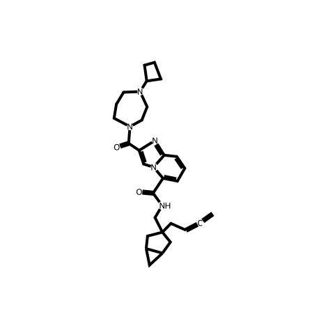 C=C=CCC1(CNC(=O)c2cccc3nc(C(=O)N4CCCN(C5CCC5)CC4)cn23)CC2CC2C1